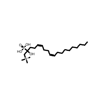 CCCCCCCCC/C=C\CC/C=C\CCC(O)(C[N+](C)(C)C)P(=O)(O)O